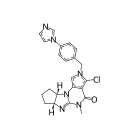 CN1C(=O)c2c(cn(Cc3ccc(-n4ccnc4)cc3)c2Cl)N2C1=N[C@@H]1CCC[C@@H]12